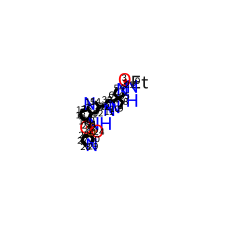 CCNC(=O)N1CCC2(CCn3nc(-c4cnc5cccc(NS(=O)(=O)c6cccnc6)c5c4)cc32)C1